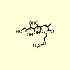 CC(=CC(=O)[C@H](O)[C@@H](O)[C@H](O)[C@H](O)CO)C(=O)OCCO[SiH3]